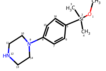 CO[Si](C)(C)c1ccc(N2CCNCC2)cc1